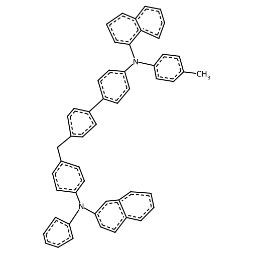 Cc1ccc(N(c2ccc(-c3ccc(Cc4ccc(N(c5ccccc5)c5ccc6ccccc6c5)cc4)cc3)cc2)c2cccc3ccccc23)cc1